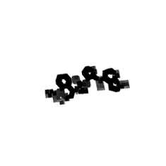 COc1ccccc1C(CN)NC(=O)Oc1ccsc1Nc1ccnc2[nH]ccc12